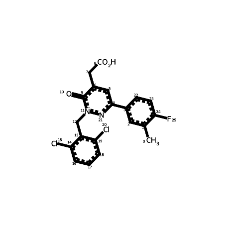 Cc1cc(-c2cc(CC(=O)O)c(=O)n(Cc3c(Cl)cccc3Cl)n2)ccc1F